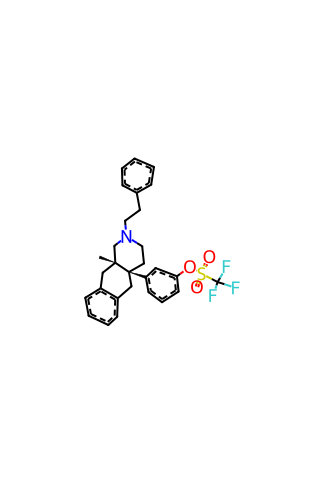 C[C@]12Cc3ccccc3C[C@@]1(c1cccc(OS(=O)(=O)C(F)(F)F)c1)CCN(CCc1ccccc1)C2